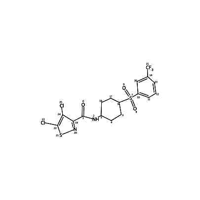 O=C(NC1CCC(S(=O)(=O)c2cccc(C(F)(F)F)c2)CC1)c1nsc(Cl)c1Cl